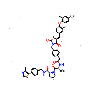 Cc1cc(C#N)ccc1Oc1ccc(/C=C2\SC(=O)N(Cc3ccc(CC(=O)N[C@H](C(=O)N4C[C@H](C)CC4C(=O)NCc4ccc(-c5scnc5C)cc4)C(C)(C)C)cc3)C2=O)cc1C